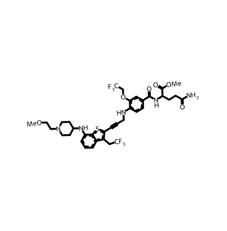 COCCN1CCC(Nc2cccc3c(CC(F)(F)F)c(C#CCNc4ccc(C(=O)NC(CCC(N)=O)C(=O)OC)cc4OCC(F)(F)F)sc23)CC1